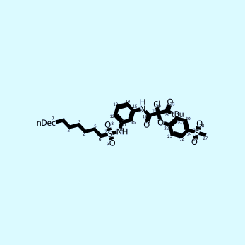 CCCCCCCCCCCCCCCCS(=O)(=O)Nc1cccc(NC(=O)C(Cl)(Oc2ccc(S(C)(=O)=O)cc2)C(=O)C(C)(C)C)c1